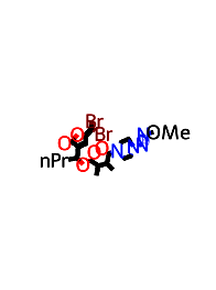 CCCC(OC(=O)C(C)C(C)C(=O)N1CCN(/N=N/OC)CC1)C1=CC(=C(Br)Br)OC1=O